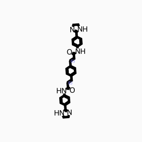 O=C(/C=C/c1ccc(/C=C/C(=O)Nc2ccc(C3=NCCN3)cc2)cc1)Nc1ccc(C2=NCCN2)cc1